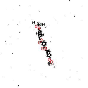 C=CC(=O)OCC1CC2C3CC(COC(=O)c4cccc(C(=O)OCC5C[C@@H]6C7CC(CC7COC(=O)C(=C)C)[C@@H]6C5)c4)C(C3)C2C1